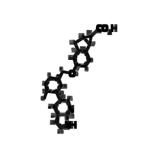 Cc1ccc(COc2ccc3c(c2)CC2C(C(=O)O)C32)cc1-c1cnc2[nH]ccc2c1